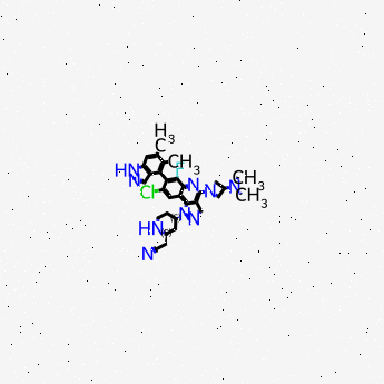 Cc1cc2[nH]ncc2c(-c2c(Cl)cc3c(nc(N4CC(N(C)C)C4)c4cnn([C@H]5CCN[C@H](CC#N)C5)c43)c2F)c1C